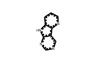 c1cnc2c(c1)[nH]c1ncncc12